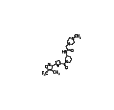 Cc1c(-c2ccc(C(=O)N3CCCC(NC(=O)CN4CCN(C)CC4)C3)s2)noc1C(F)(F)F